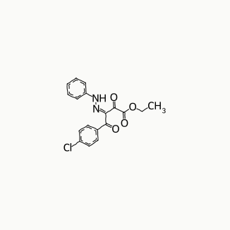 CCOC(=O)C(=O)C(=NNc1ccccc1)C(=O)c1ccc(Cl)cc1